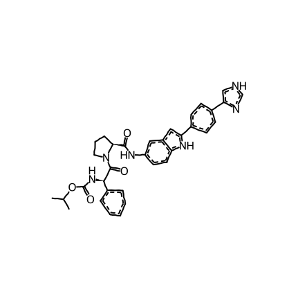 CC(C)OC(=O)N[C@@H](C(=O)N1CCC[C@H]1C(=O)Nc1ccc2[nH]c(-c3ccc(-c4c[nH]cn4)cc3)cc2c1)c1ccccc1